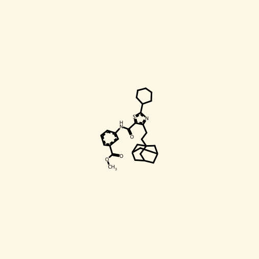 COC(=O)c1cccc(NC(=O)c2sc(C3CCCCC3)nc2CCC23CC4CC(CC(C4)C2)C3)c1